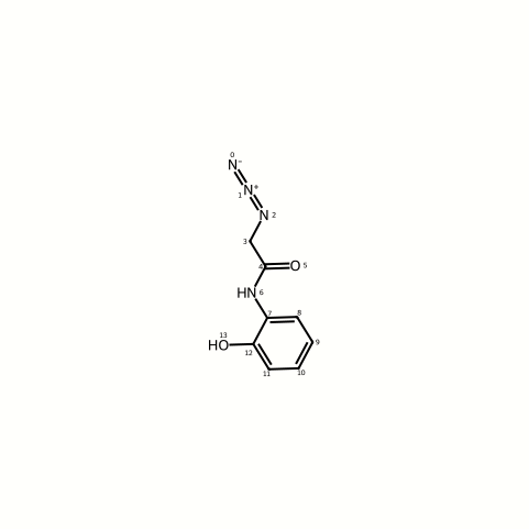 [N-]=[N+]=NCC(=O)Nc1ccccc1O